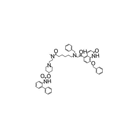 CN(CCN1CCC(OC(=O)Nc2ccccc2-c2ccccc2)CC1)C(=O)CCCCCN(Cc1ccccc1)C[C@@H](O)c1ccc(OCc2ccccc2)c2[nH]c(=O)ccc12